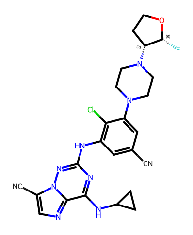 N#Cc1cc(Nc2nc(NC3CC3)c3ncc(C#N)n3n2)c(Cl)c(N2CCN([C@@H]3CCO[C@@H]3F)CC2)c1